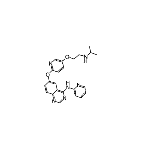 CC(C)NCCOc1ccc(Oc2ccc3ncnc(Nc4ccccn4)c3c2)nc1